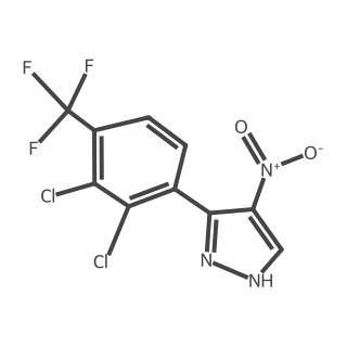 O=[N+]([O-])c1c[nH]nc1-c1ccc(C(F)(F)F)c(Cl)c1Cl